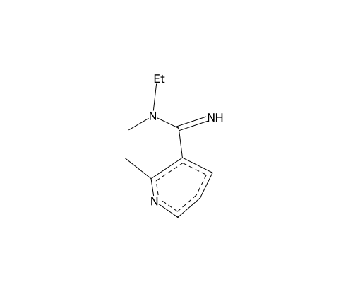 CCN(C)C(=N)c1cccnc1C